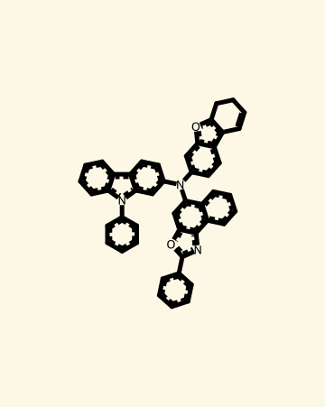 C1=Cc2c(oc3cc(N(c4ccc5c6ccccc6n(-c6ccccc6)c5c4)c4cc5oc(-c6ccccc6)nc5c5ccccc45)ccc23)CC1